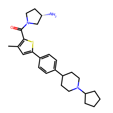 Cc1cc(-c2ccc(C3CCN(C4CCCC4)CC3)cc2)sc1C(=O)N1CC[C@H](N)C1